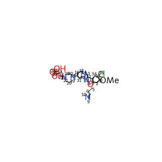 COc1cc(OCCCN(C)C)c(-c2cn3ccc(N4CCCN(CCP(=O)(O)O)CC4)cc3n2)cc1Cl